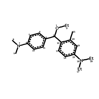 CCOC(c1ccc(N(C)C)cc1)c1ccc(N(CC)CC)cc1C